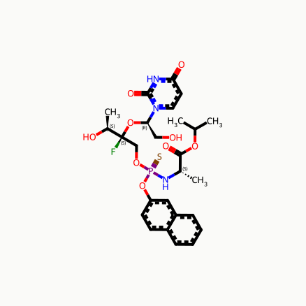 CC(C)OC(=O)[C@H](C)NP(=S)(OC[C@@](F)(O[C@H](CO)n1ccc(=O)[nH]c1=O)[C@H](C)O)Oc1ccc2ccccc2c1